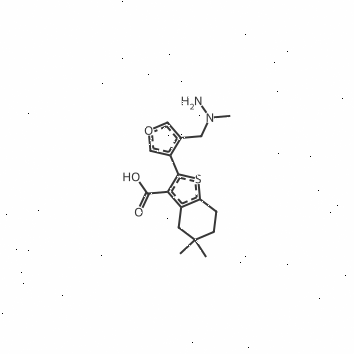 CN(N)Cc1cocc1-c1sc2c(c1C(=O)O)CC(C)(C)CC2